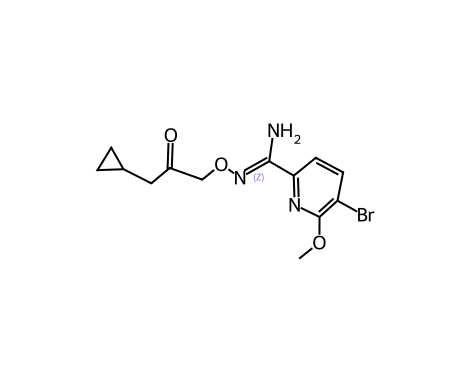 COc1nc(/C(N)=N/OCC(=O)CC2CC2)ccc1Br